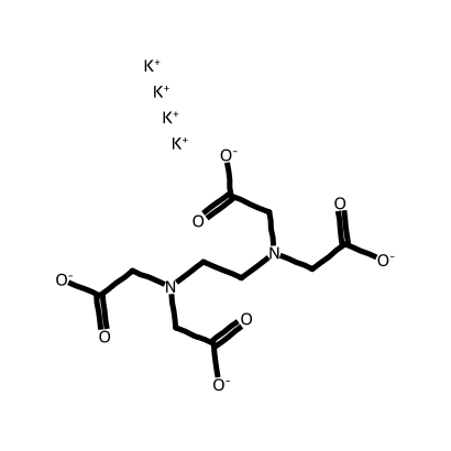 O=C([O-])CN(CCN(CC(=O)[O-])CC(=O)[O-])CC(=O)[O-].[K+].[K+].[K+].[K+]